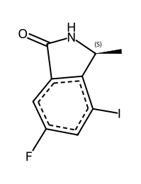 C[C@@H]1NC(=O)c2cc(F)cc(I)c21